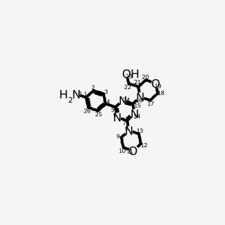 Nc1ccc(-c2nc(N3CCOCC3)nc(N3CCOCC3CO)n2)cc1